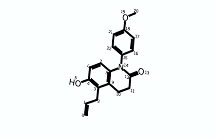 C=CCc1c(O)ccc2c1CCC(=O)N2c1ccc(OC)cc1